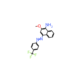 COc1cc(N=Nc2ccc(C(F)(F)F)cc2)c2ccccc2c1N